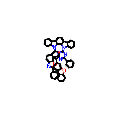 c1ccc(-c2nc(-c3cccc4nc(-c5ccccc5)oc34)nc(-n3c4ccccc4c4ccc5c6ccccc6n(-c6ccc(-c7ccc8c(c7)oc7ccccc78)cc6)c5c43)n2)cc1